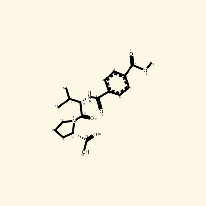 COC(=O)c1ccc(C(=O)N[C@H](C(=O)N2CCC[C@H]2C(=O)O)C(C)C)cc1